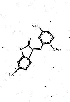 COc1ccc(OC)c(C=C2C(=O)Nc3cc(C(F)(F)F)ccc32)c1